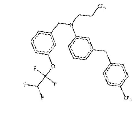 FC(F)C(F)(F)Oc1cccc(CN(CCC(F)(F)F)c2cccc(Cc3ccc(C(F)(F)F)cc3)c2)c1